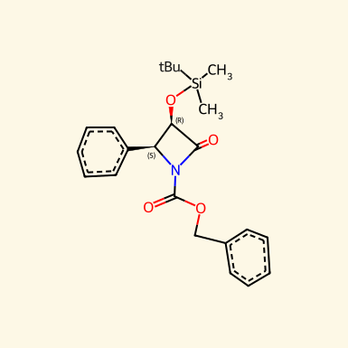 CC(C)(C)[Si](C)(C)O[C@H]1C(=O)N(C(=O)OCc2ccccc2)[C@H]1c1ccccc1